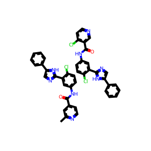 Cc1cc(C(=O)Nc2ccc(Cl)c(-c3ncc(-c4ccccc4)[nH]3)c2)ccn1.O=C(Nc1ccc(Cl)c(-c2ncc(-c3ccccc3)[nH]2)c1)c1cnccc1Cl